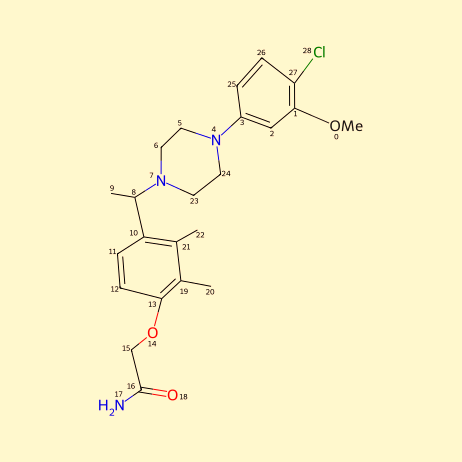 COc1cc(N2CCN(C(C)c3ccc(OCC(N)=O)c(C)c3C)CC2)ccc1Cl